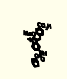 COc1cc(C(=O)O)ccc1Cc1cn(C)c2ccc(NC(=O)OC3CC4CCC3C4)cc12